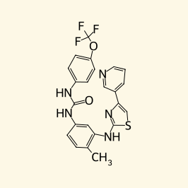 Cc1ccc(NC(=O)Nc2ccc(OC(F)(F)F)cc2)cc1Nc1nc(-c2cccnc2)cs1